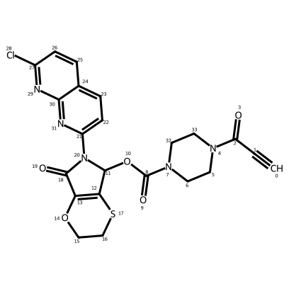 C#CC(=O)N1CCN(C(=O)OC2C3=C(OCCS3)C(=O)N2c2ccc3ccc(Cl)nc3n2)CC1